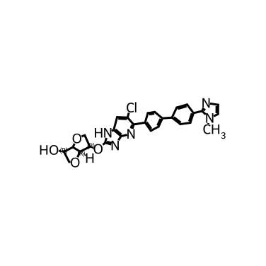 Cn1ccnc1-c1ccc(-c2ccc(-c3nc4nc(O[C@@H]5COC6[C@H](O)CO[C@@H]65)[nH]c4cc3Cl)cc2)cc1